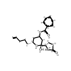 C=CCCC[C@@H]1CC(OC(=O)c2ccccc2)C[C@](O)([C@@H]2CSC(=O)N2)O1